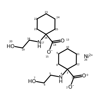 O=C([O-])C1(NCCO)CCCCC1.O=C([O-])C1(NCCO)CCCCC1.[Ni+2]